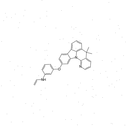 C=CNc1cccc(Oc2ccc3c4cccc5c4n(c3c2)-c2ncccc2C5(C)C)c1